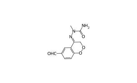 CN(N=C1COOc2ccc(C=O)cc21)C(N)=O